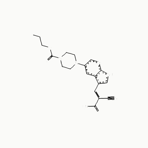 N#C/C(=C\c1c[nH]c2ncc(N3CCN(C(=O)OCCF)CC3)cc12)C(N)=O